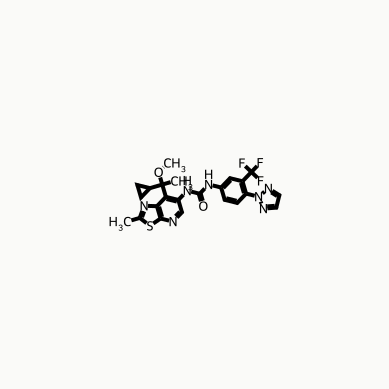 COC(C)(c1c(NC(=O)Nc2ccc(-n3nccn3)c(C(F)(F)F)c2)cnc2sc(C)nc12)C1CC1